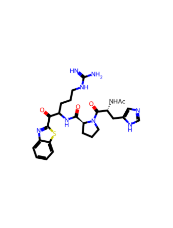 CC(=O)N[C@H](Cc1cnc[nH]1)C(=O)N1CCC[C@H]1C(=O)NC(CCCNC(=N)N)C(=O)c1nc2ccccc2s1